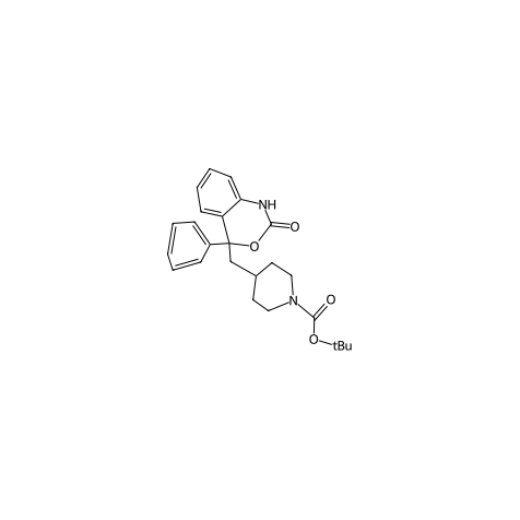 CC(C)(C)OC(=O)N1CCC(CC2(c3ccccc3)OC(=O)Nc3ccccc32)CC1